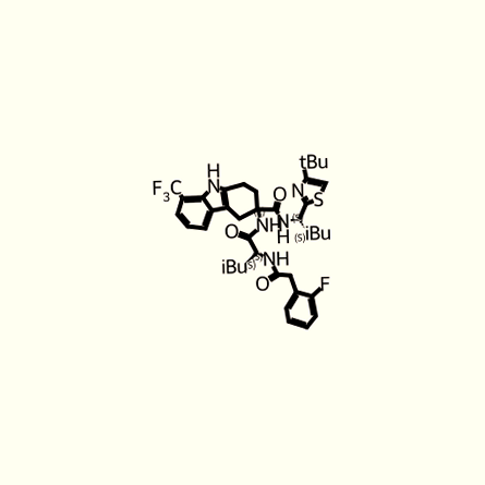 CC[C@H](C)[C@H](NC(=O)Cc1ccccc1F)C(=O)N[C@]1(C(=O)N[C@H](c2nc(C(C)(C)C)cs2)[C@@H](C)CC)CCc2[nH]c3c(C(F)(F)F)cccc3c2C1